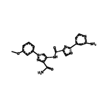 COc1cccc(-n2cc(NC(=O)c3coc(-c4ccnc(N)c4)n3)c(C(N)=O)n2)c1